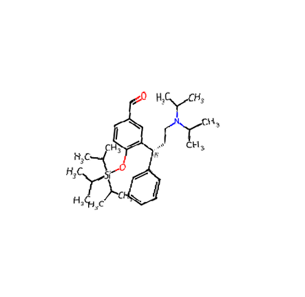 CC(C)N(CC[C@H](c1ccccc1)c1cc(C=O)ccc1O[Si](C(C)C)(C(C)C)C(C)C)C(C)C